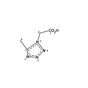 Cc1nnnn1CC(=O)O